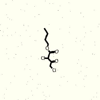 CCCCOC(=O)C(Cl)C(=O)CCl